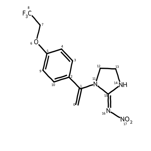 C=C(c1ccc(OCC(F)(F)F)cc1)N1CCN/C1=N\[N+](=O)[O-]